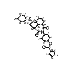 O=C(Oc1ccc(N2C(=O)c3cccc4c(Sc5ccccc5)ccc(c34)C2=O)cc1)C1=CCC=C1